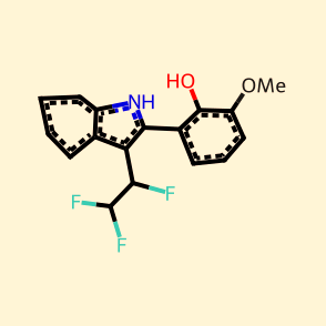 COc1cccc(-c2[nH]c3ccccc3c2C(F)C(F)F)c1O